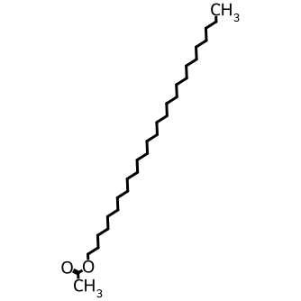 CCCCCCCCCCCCCCCCCCCCCCCCCCCOC(C)=O